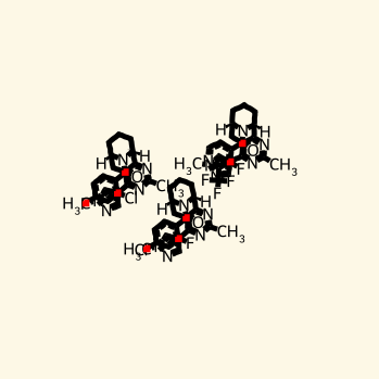 Cc1nc(-c2cnn(C)c2)c2c(n1)[C@H]1CCC[C@@H](C2)N1C(=O)c1ccc(Cl)cc1F.Cc1nc(-c2cnn(C)c2)c2c(n1)[C@H]1CCC[C@@H](C2)N1C(=O)c1ccc(F)cc1Cl.Cc1nc(-c2cnn(C)c2)c2c(n1)[C@H]1CCC[C@@H](C2)N1C(=O)c1ccnc(C(F)(F)F)c1F